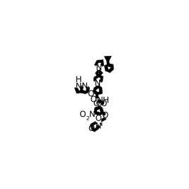 O=C(NS(=O)(=O)c1cc2c(c([N+](=O)[O-])c1)O[C@@H](CN1CCOCC1)CO2)c1ccc(N2CCC3(CC2)CC(N2CCC[C@@H]2c2ccccc2C2CC2)C3)cc1Oc1cnc2[nH]ccc2c1